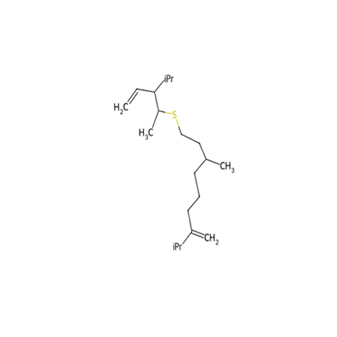 C=CC(C(C)C)C(C)SCCC(C)CCCC(=C)C(C)C